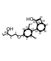 Cc1cc(OCC[C@@H](C)O)cc(C)c1-c1cccc2c1C(O)=C2